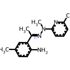 C/C(=N\N(C)c1cccc(Cl)n1)c1cc(C)ccc1N